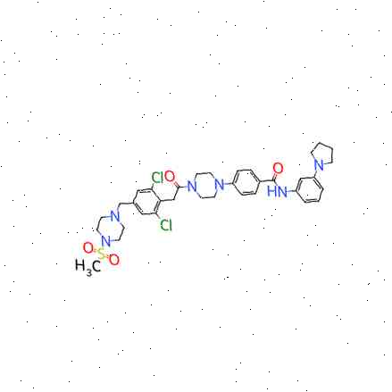 CS(=O)(=O)N1CCN(Cc2cc(Cl)c(CC(=O)N3CCN(c4ccc(C(=O)Nc5cccc(N6CCCC6)c5)cc4)CC3)c(Cl)c2)CC1